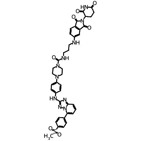 CS(=O)(=O)c1ccc(-c2cccc3nc(Nc4ccc(N5CCN(C(=O)NCCCNc6ccc7c(c6)C(=O)N(C6CCC(=O)NC6=O)C7=O)CC5)cc4)nn23)cc1